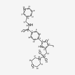 Cc1oc(-c2ccc(C(=O)NCc3cccnc3)cc2)nc1CS(=O)(=O)N1CCOCC1